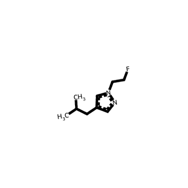 CC(C)Cc1cnn(CCF)c1